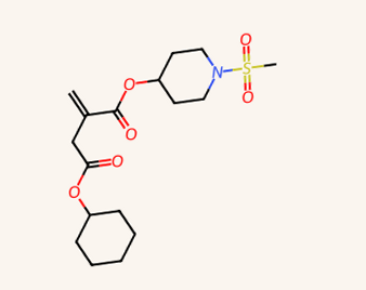 C=C(CC(=O)OC1CCCCC1)C(=O)OC1CCN(S(C)(=O)=O)CC1